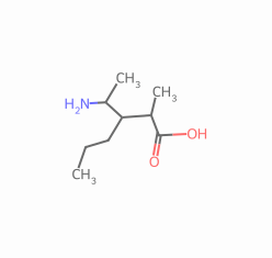 CCCC(C(C)N)C(C)C(=O)O